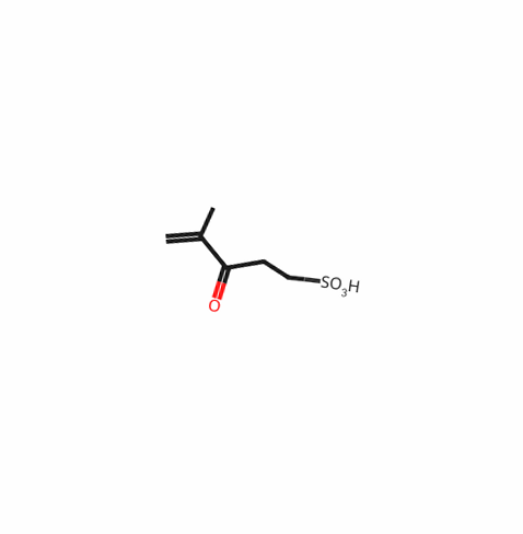 C=C(C)C(=O)CCS(=O)(=O)O